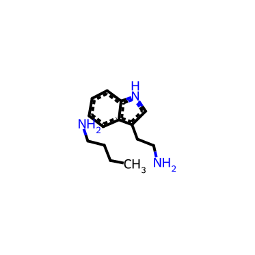 CCCCN.NCCc1c[nH]c2ccccc12